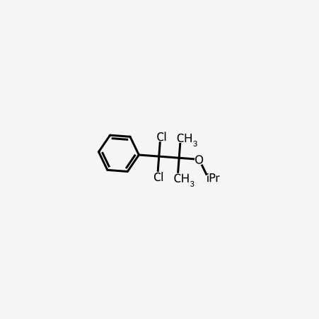 CC(C)OC(C)(C)C(Cl)(Cl)c1ccccc1